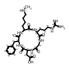 CNCCCCC1NC(=O)C(Cc2ccccc2)NC(=O)C(CC(=O)O)NC(=O)CNC(=O)C(CCCNC(=N)N)NC1=O